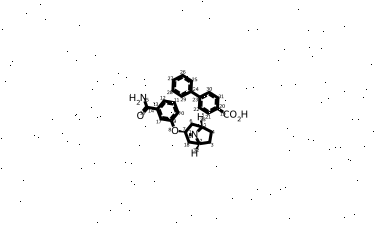 CN1[C@@H]2CC[C@H]1C[C@H](Oc1cccc(C(N)=O)c1)C2.O=C(O)c1ccc(-c2ccccc2)cc1